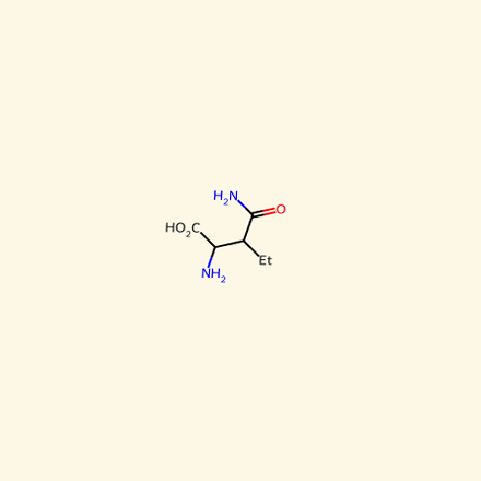 CCC(C(N)=O)C(N)C(=O)O